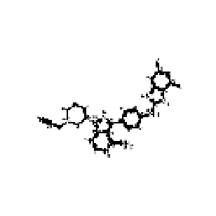 Cc1cc(C)c2oc(Nc3ccc(-c4nn([C@H]5CCCN(CC#N)C5)c5ncnc(N)c45)cc3)nc2c1